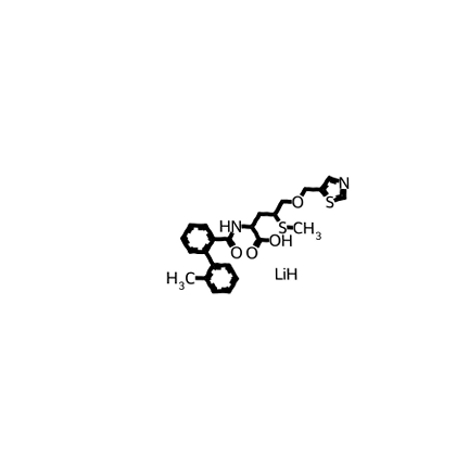 CSC(COCc1cncs1)CC(NC(=O)c1ccccc1-c1ccccc1C)C(=O)O.[LiH]